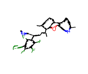 C/N=C/C(=C\C=C(/C)c1c(C)ccc2c1oc1nc(C)ccc12)c1c(F)c(F)c(F)c(F)c1F